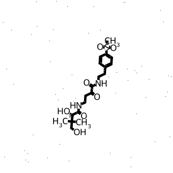 CC(C)(CO)[C@@H](O)C(=O)NCCC(=O)C(=O)NCCc1ccc(S(C)(=O)=O)cc1